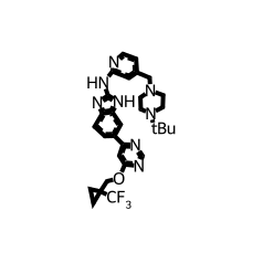 CC(C)(C)N1CCN(Cc2ccnc(Nc3nc4ccc(-c5cc(OCC6(C(F)(F)F)CC6)ncn5)cc4[nH]3)c2)CC1